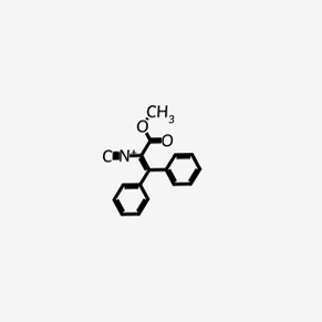 [C-]#[N+]C(C(=O)OC)=C(c1ccccc1)c1ccccc1